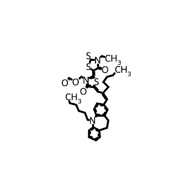 CCCCCCN1c2ccccc2CCc2cc(/C=C(\C=c3/s/c(=C4/SC(=S)N(CC)C4=O)n(COC=O)c3=O)CCCCC)ccc21